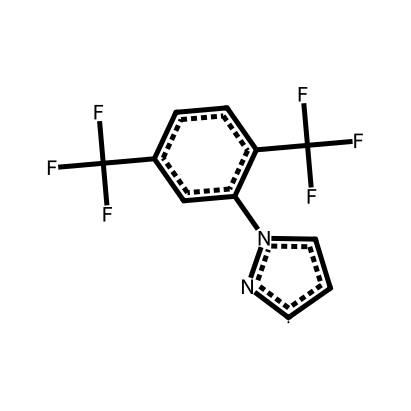 FC(F)(F)c1ccc(C(F)(F)F)c(-n2cc[c]n2)c1